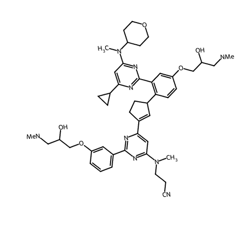 CNCC(O)COc1cccc(-c2nc(C3=CC(c4ccc(OCC(O)CNC)cc4-c4nc(C5CC5)cc(N(C)C5CCOCC5)n4)CC3)cc(N(C)CCC#N)n2)c1